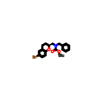 CC(C)(C)OC(=O)N(Cc1ccccc1)C[C@@H]1CCc2cc(Br)ccc2O1